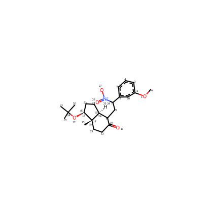 COc1cccc(C(CC2C(=O)CC[C@]3(C)[C@@H](OC(C)(C)C)CC[C@@H]23)[N+](=O)[O-])c1